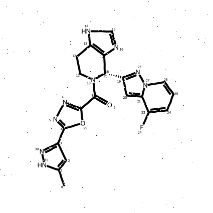 Cc1cc(-c2nnc(C(=O)N3CCc4[nH]cnc4[C@@H]3c3cc4c(F)cccn4n3)o2)n[nH]1